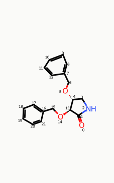 O=C1NC[C@@H](OCc2ccccc2)[C@@H]1OCc1ccccc1